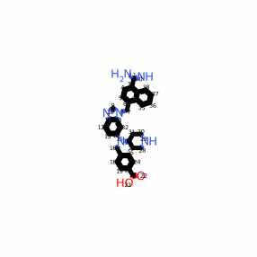 N=C(N)c1ccc(Cn2cnc3ccc(N(Cc4ccc(C(=O)O)cc4)C4CCNCC4)cc32)c2ccccc12